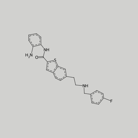 Nc1ccccc1NC(=O)c1cc2ccc(CCNCc3ccc(F)cc3)cc2s1